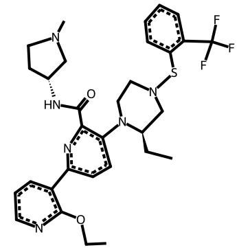 CCOc1ncccc1-c1ccc(N2CCN(Sc3ccccc3C(F)(F)F)C[C@H]2CC)c(C(=O)N[C@@H]2CCN(C)C2)n1